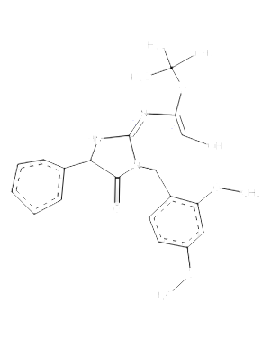 COc1ccc(CN2C(=O)C(c3ccccc3)N/C2=N/C(=C/O)OC(C)(C)C)c(OC)c1